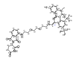 CN(C(=O)Oc1c(/C(=C/NCCOCCOCCNc2cccc3c2C(=O)N(C2CCC(=O)NC2=O)C3=O)N=N)cc(C(F)(F)F)cc1C(F)(F)F)c1ccc(F)cc1